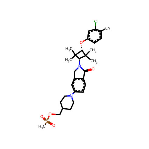 CC1(C)[C@H](Oc2ccc(C#N)c(Cl)c2)C(C)(C)[C@H]1N1Cc2cc(N3CCC(COS(C)(=O)=O)CC3)ccc2C1=O